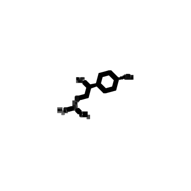 C[SiH](C)OCC(C#N)[C@H]1CC[C@H](C(C)(C)C)CC1